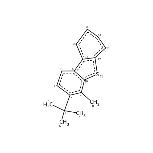 Cc1c(C(C)(C)C)ccc2c1sc1ccccc12